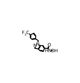 O=C(NO)c1ccc2cnn(Cc3ccc(C(F)(F)F)cc3)c2c1